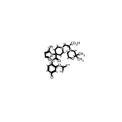 CC(C)c1ccnn1C1(C(=O)Nc2ccc(Cl)cc2OC(F)F)CCN(C[C@@H](C(=O)O)N2CCOC(C)(C)C2)CC1